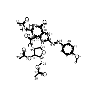 COc1ccc(/N=N/c2nc3c(=O)[nH]c(NC(C)=O)nc3n2[C@@H]2O[C@H](COC(C)=O)C(OC(C)=O)[C@@H]2OC(C)=O)cc1